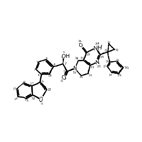 O=C([C@H](O)c1cccc(-c2coc3ccccc23)c1)N1CCc2nc(C3(c4ccccc4)CC3)[nH]c(=O)c2C1